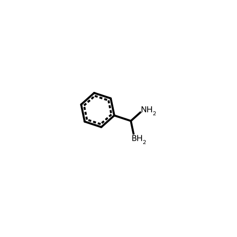 BC(N)c1ccccc1